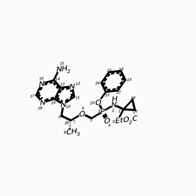 CCOC(=O)C1(NP(=O)(CO[C@H](C)Cn2cnc3c(N)ncnc32)Oc2ccccc2)CC1